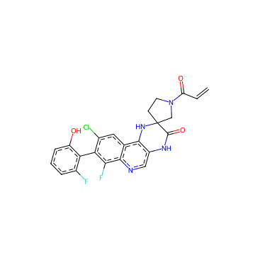 C=CC(=O)N1CCC2(C1)Nc1c(cnc3c(F)c(-c4c(O)cccc4F)c(Cl)cc13)NC2=O